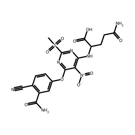 CS(=O)(=O)c1nc(NC(CCC(N)=O)C(=O)O)c([N+](=O)[O-])c(Oc2ccc(C#N)c(C(N)=O)c2)n1